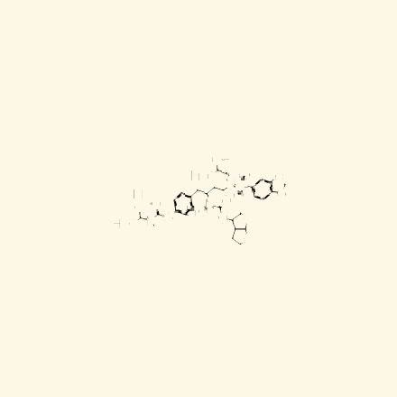 CC(C)CN(CCC(Cc1ccc(OC(=O)NC(C)C)cc1)N(O)C(=O)OC1COC2OCCC12)S(=O)(=O)c1ccc2c(c1)OCO2